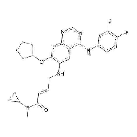 CN(C(=O)C=CCNc1cc2c(Nc3ccc(F)c(Cl)c3)ncnc2cc1OC1CCCC1)C1CC1